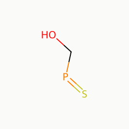 OCP=S